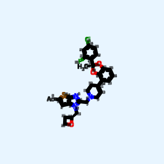 CC(=O)c1cc2c(nc(CN3CC=C(c4cccc5c4O[C@@](C)(c4ccc(Cl)cc4F)O5)CC3)n2C[C@@H]2CCO2)s1